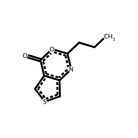 CCCc1nc2cscc2c(=O)o1